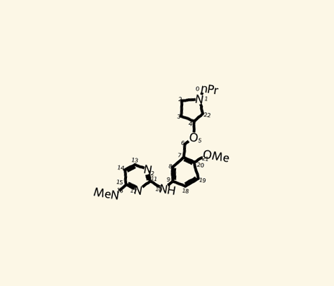 CCCN1CCC(OCc2cc(Nc3nccc(NC)n3)ccc2OC)C1